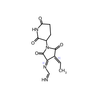 C/C=C1/C(=O)N(C2CCC(=O)NC2=O)C(=O)/C1=N/C=N